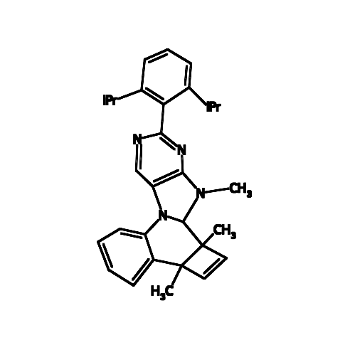 CC(C)c1cccc(C(C)C)c1-c1ncc2c(n1)N(C)C1N2c2ccccc2C2(C)C=CC12C